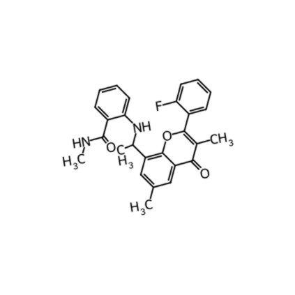 CNC(=O)c1ccccc1NC(C)c1cc(C)cc2c(=O)c(C)c(-c3ccccc3F)oc12